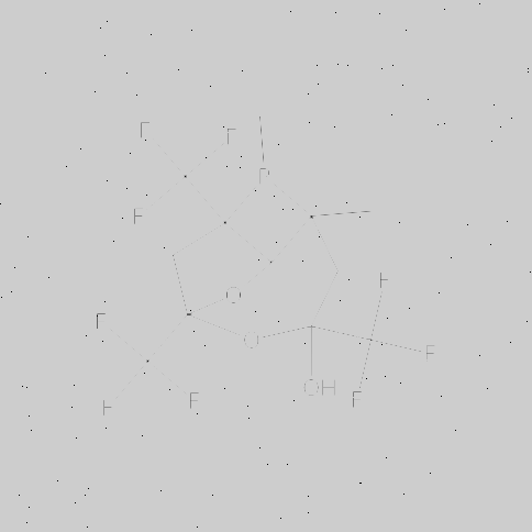 CP1C2(C)CC(O)(C(F)(F)F)OC3(C(F)(F)F)CC1(C(F)(F)F)C2O3